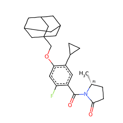 C[C@@H]1CCC(=O)N1C(=O)c1cc(C2CC2)c(OCC23CC4CC(CC(C4)C2)C3)cc1F